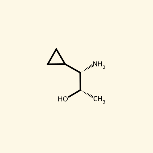 C[C@H](O)[C@@H](N)C1CC1